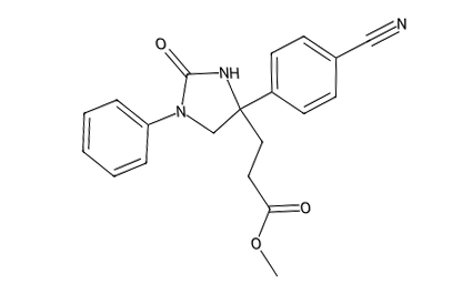 COC(=O)CCC1(c2ccc(C#N)cc2)CN(c2ccccc2)C(=O)N1